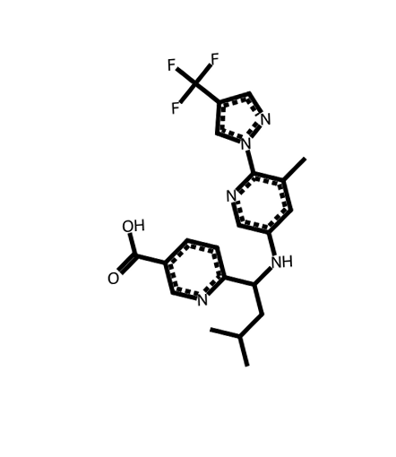 Cc1cc(NC(CC(C)C)c2ccc(C(=O)O)cn2)cnc1-n1cc(C(F)(F)F)cn1